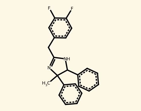 CC1(c2ccccc2)N=C(Cc2ccc(F)c(F)c2)NC1c1ccccc1